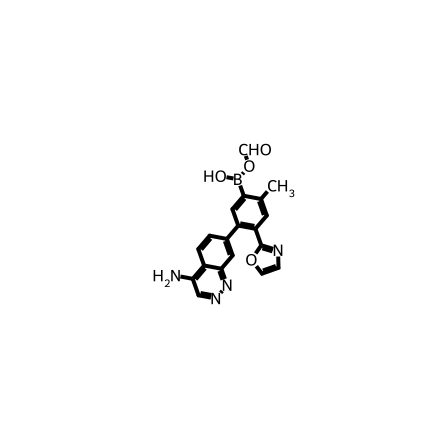 Cc1cc(-c2ncco2)c(-c2ccc3c(N)cnnc3c2)cc1B(O)OC=O